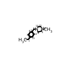 CCc1ccc(CN2CCN(C)CC2)cc1